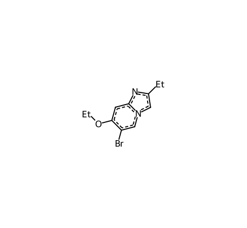 CCOc1cc2nc(CC)cn2cc1Br